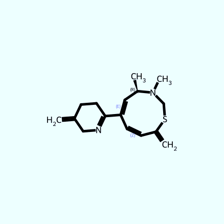 C=C1CCC(C2=C/[C@@H](C)N(C)CSC(=C)/C=C\2)=NC1